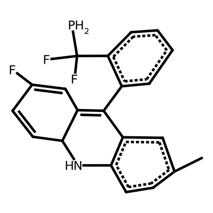 Cc1ccc2c(c1)C(c1ccccc1C(F)(F)P)=C1C=C(F)C=CC1N2